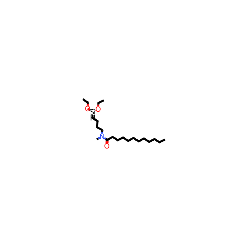 CCCCCCCCCCCC(=O)N(C)CCCC[SiH](OCC)OCC